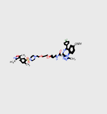 COc1ccc2c(c1)C(c1ccc(Cl)cc1)=N[C@@H](CC(=O)NCCCOCCOCCN1CCN(S(=O)(=O)c3cc(-c4c(C)noc4C)ccc3C)CC1)c1nnc(C)n1-2